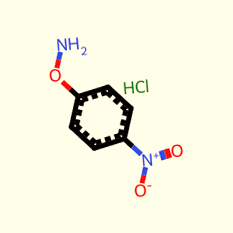 Cl.NOc1ccc([N+](=O)[O-])cc1